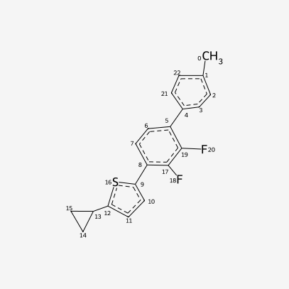 Cc1ccc(-c2ccc(-c3ccc(C4CC4)s3)c(F)c2F)cc1